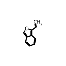 C=Cc1occ2ccccc12